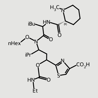 CCCCCCON(C(=O)C(NC(=O)[C@H]1CCCCN1C)C(C)CC)C(CC(OC(=O)NCC)c1nc(C(=O)O)cs1)C(C)C